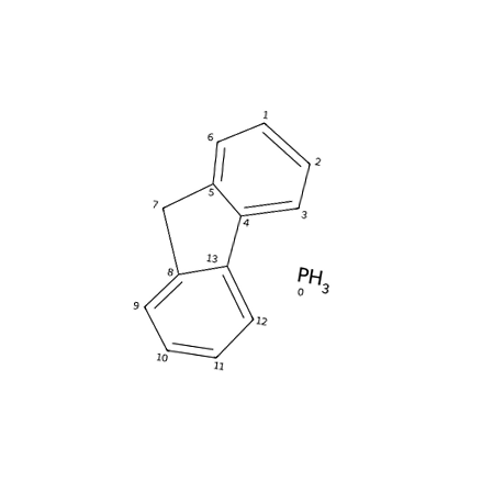 P.c1ccc2c(c1)Cc1ccccc1-2